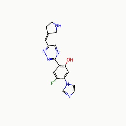 Oc1cc(-n2ccnc2)c(F)cc1-c1ncc(C=C2CCNC2)nn1